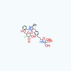 CC(C)c1nn(Cc2ccccc2)c(OC2OC(CO)C(F)C(O)C2O)c1Cc1ccc(CCCC(=O)NC(CO)(CO)CO)cc1